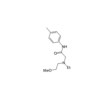 CCN(CCOC)CC(=O)Nc1ccc(C)cc1